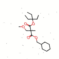 CCC(CC)(CC)OC(=O)C(C)(COC)C(=O)OCC1CCCCC1